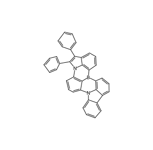 c1ccc(-c2c(-c3ccccc3)n3c4c(cccc24)B2c4c-3cccc4-n3c4ccccc4c4cccc2c43)cc1